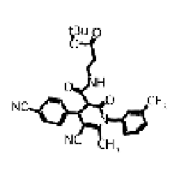 CC1=C(C#N)C(c2ccc(C#N)cc2)C(C(=O)NCCC(=O)OC(C)(C)C)C(=O)N1c1cccc(C(F)(F)F)c1